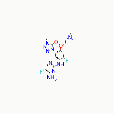 CN(C)CCOc1cc(F)c(Nc2ncc(F)c(N)n2)cc1-n1nnn(C)c1=O